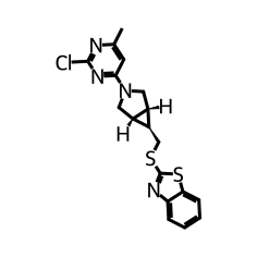 Cc1cc(N2C[C@@H]3[C@@H](CSc4nc5ccccc5s4)[C@@H]3C2)nc(Cl)n1